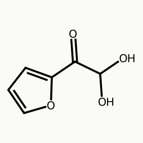 O=C(c1ccco1)C(O)O